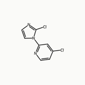 Clc1ccnc(-n2ccnc2Cl)c1